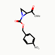 COC(=O)C1CN1C(=O)OCc1ccc([N+](=O)[O-])cc1